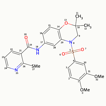 COc1ccc(S(=O)(=O)N2CC(C)(C)Oc3ccc(NC(=O)c4cccnc4SC)cc32)cc1OC